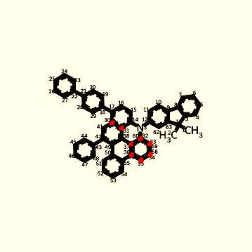 CC1(C)c2ccccc2-c2ccc(N(c3ccc(-c4ccc(-c5ccccc5)cc4)cc3)c3ccccc3-c3cccc(-c4ccccc4)c3-c3ccccc3-c3ccccc3)cc21